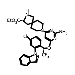 CCOC(=O)[C@@H]1CC2(CCN(c3cc(O[C@H](c4ccc(Cl)cc4-n4ncc5ccccc54)C(F)(F)F)nc(N)n3)CC2)CN1